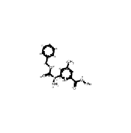 Cc1cc(C(=O)OC(C)(C)C)nc(N(N)C(=O)OCc2ccccc2)c1